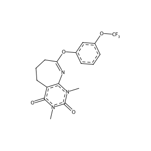 Cn1c2c(c(=O)n(C)c1=O)CCCC(Oc1cccc(OC(F)(F)F)c1)=N2